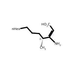 CCCCCCCCC[C@@H](C)/C(N)=C\C(=O)O